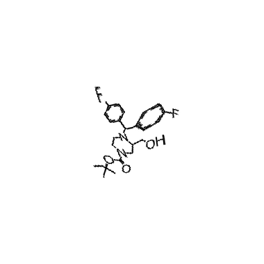 CC(C)(C)OC(=O)N1CCN(C(c2ccc(F)cc2)c2ccc(F)cc2)C(CO)C1